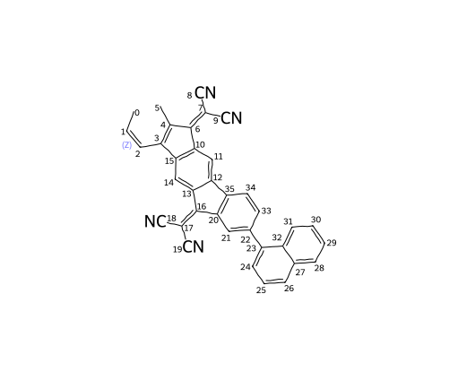 C/C=C\C1=C(C)C(=C(C#N)C#N)c2cc3c(cc21)C(=C(C#N)C#N)c1cc(-c2cccc4ccccc24)ccc1-3